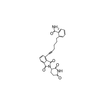 NC(=O)c1ccccc1CCCCC#Cc1cccc2c1C(=O)N(C1CCC(=O)NC1=O)C2=O